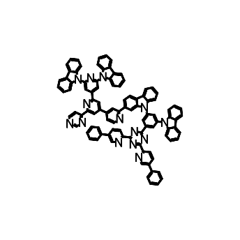 c1ccc(-c2ccc(-c3nc(-c4cc(-n5c6ccccc6c6ccccc65)cc(-n5c6ccccc6c6ccc(-c7cc(-c8cc(-c9cc(-n%10c%11ccccc%11c%11ccccc%11%10)nc(-n%10c%11ccccc%11c%11ccccc%11%10)c9)nc(-c9ccncn9)c8)ccn7)cc65)c4)nc(-c4ccc(-c5ccccc5)cn4)n3)nc2)cc1